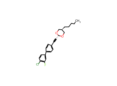 CCCCC[C@H]1CO[C@H](C#Cc2ccc(-c3ccc(Cl)c(F)c3)cc2)OC1